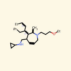 C=C1/C(=C(\C=C/CC)CC(C)C)C(CNC2CC2)C#CCN1CCCOCC